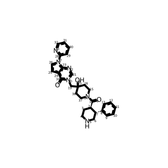 O=C([C@@H]1CCNC[C@H]1c1ccccc1)N1CCC(O)(Cn2cnc3c(ccn3-c3ccccn3)c2=O)CC1